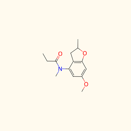 CCC(=O)N(C)c1cc(OC)cc2c1CC(C)O2